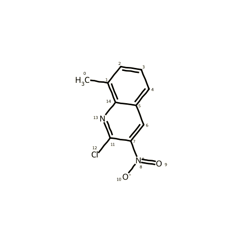 Cc1cccc2cc([N+](=O)[O-])c(Cl)nc12